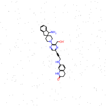 NC1c2ccccc2CC12CCN(c1ncc(C#CCNc3ccc4c(c3)NC(=O)CC4)nc1CO)CC2